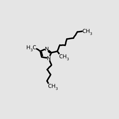 CCCCCCC(C)c1nc(C)cn1CCCCC